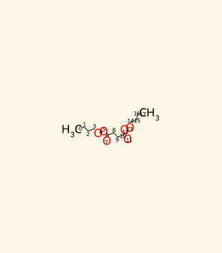 CCCCOOC(=O)CCC(=O)OOCCCC